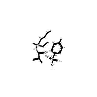 C=C(C)C(=O)O[N+](C)(CC)CCCC.Cc1ccc(S(=O)(=O)[O-])cc1